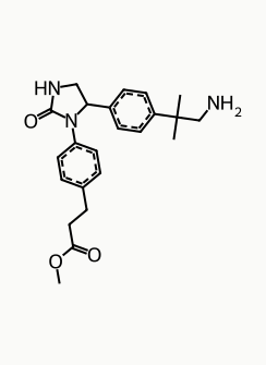 COC(=O)CCc1ccc(N2C(=O)NCC2c2ccc(C(C)(C)CN)cc2)cc1